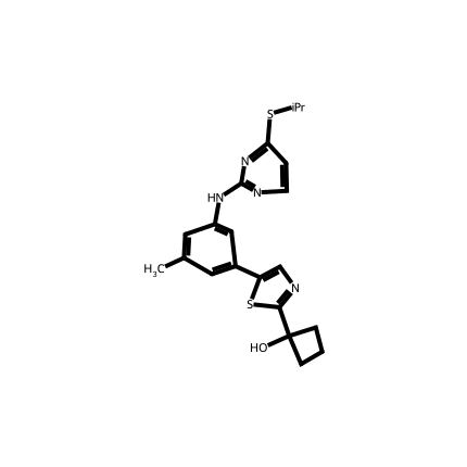 Cc1cc(Nc2nccc(SC(C)C)n2)cc(-c2cnc(C3(O)CCC3)s2)c1